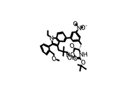 CCn1c(-c2ccccc2COC)c(CC(C)(C)CO)c2cc(-c3cc(C[C@H](NC(=O)OC(C)(C)C)C(=O)O)cc([N+](=O)[O-])c3)ccc21